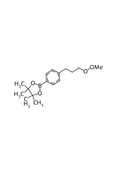 COOCCCc1ccc(B2OC(C)(C)C(C)(C)O2)cc1